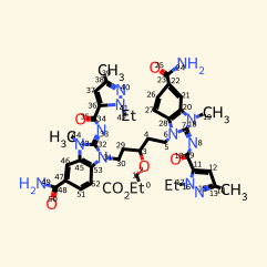 CCOC(=O)COC(CCn1c(=NC(=O)c2cc(C)nn2CC)n(C)c2cc(C(N)=O)ccc21)CCn1c(=NC(=O)c2cc(C)nn2CC)n(C)c2cc(C(N)=O)ccc21